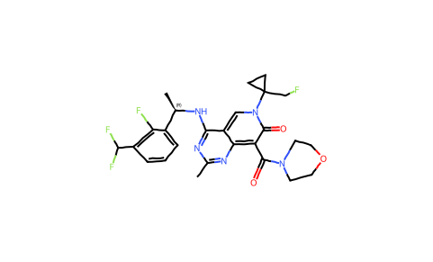 Cc1nc(N[C@H](C)c2cccc(C(F)F)c2F)c2cn(C3(CF)CC3)c(=O)c(C(=O)N3CCOCC3)c2n1